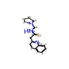 S=C(Cc1ccc2ccccc2n1)NCN1CCCC1